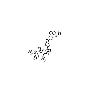 Cc1noc(-c2ccc(O[C@H]3CCC[C@H](C(=O)O)C3)cc2)c1COC(=O)N(C)C1CCOC1